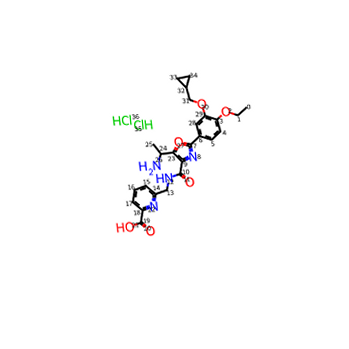 CCOc1ccc(-c2nc(C(=O)NCc3cccc(C(=O)O)n3)c(C(C)N)o2)cc1OCC1CC1.Cl.Cl